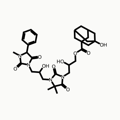 CN1C(=O)N(CC(O)CN2C(=O)N(CC(O)COC(=O)C34CC5CC(CC(O)(C5)C3)C4)C(=O)C2(C)C)C(=O)C1c1ccccc1